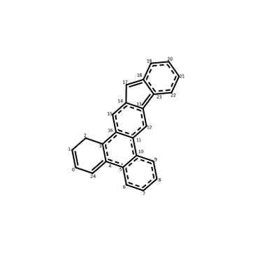 C1=CCc2c(c3ccccc3c3cc4c(cc23)C=c2ccccc2=4)=C1